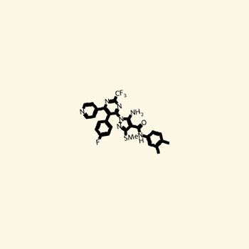 CSc1nn(-c2nc(C(F)(F)F)nc(-c3ccncc3)c2-c2ccc(F)cc2)c(N)c1C(=O)Nc1ccc(C)c(C)c1